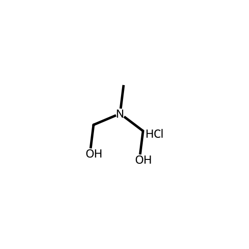 CN(CO)CO.Cl